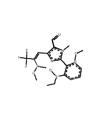 CC[S+]([O-])c1ccc[n+](OC)c1-c1nc(/C=C(\N(C)OC)C(F)(F)F)c(C=O)n1C